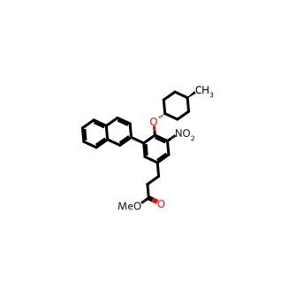 COC(=O)CCc1cc(-c2ccc3ccccc3c2)c(O[C@H]2CC[C@H](C)CC2)c([N+](=O)[O-])c1